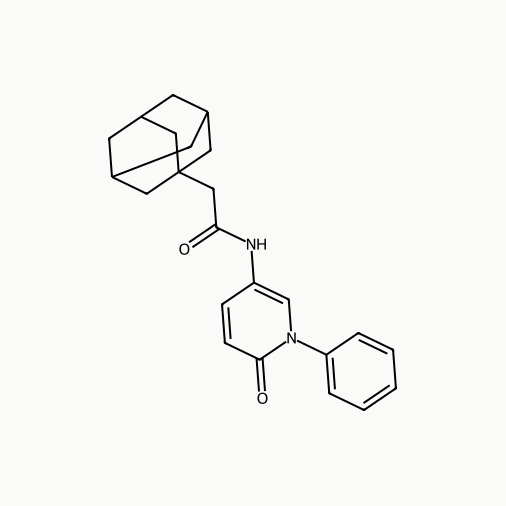 O=C(CC12CC3CC(CC(C3)C1)C2)Nc1ccc(=O)n(-c2ccccc2)c1